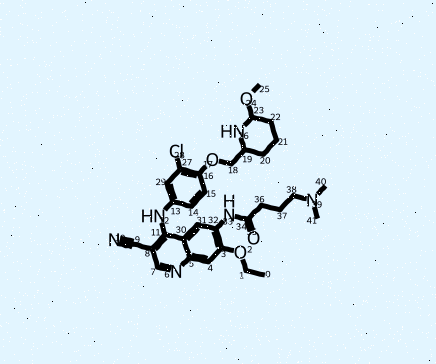 CCOc1cc2ncc(C#N)c(Nc3ccc(OCC4CCCC(OC)N4)c(Cl)c3)c2cc1NC(=O)CCCN(C)C